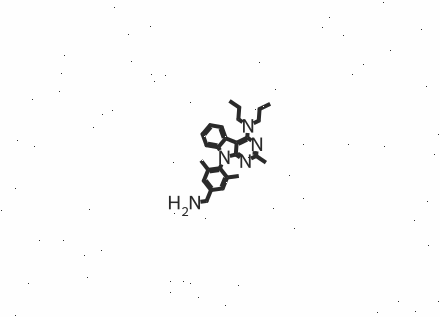 CCCN(CCC)c1nc(C)nc2c1c1ccccc1n2-c1c(C)cc(CN)cc1C